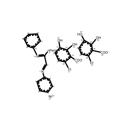 CCCCCC(C=Nc1ccccc1)=Nc1ccccc1.CCc1ccc(O)c(O)c1C(=O)[O-].CCc1ccc(O)c(O)c1C(=O)[O-].[Ni+2]